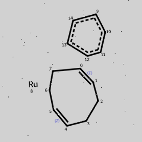 C1=C\CC/C=C\CC/1.[Ru].c1ccccc1